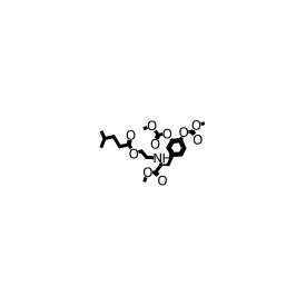 COC(=O)Oc1ccc(C[C@H](NCCOC(=O)CCC(C)C)C(=O)OC)cc1OC(=O)OC